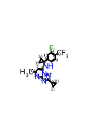 Cc1cc(NC2(c3ccc(C(F)(F)F)c(F)c3)CC2)n2nc(C3CC3)nc2n1